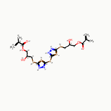 C=C(C)C(=O)OCC(O)CSc1nnc(Sc2nnc(SCC(O)COC(=O)C(=C)C)s2)s1